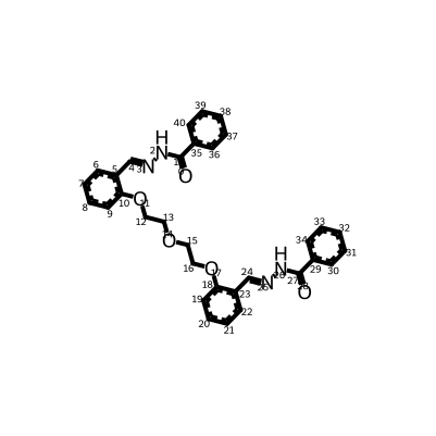 O=C(NN=Cc1ccccc1OCCOCCOc1ccccc1C=NNC(=O)c1ccccc1)c1ccccc1